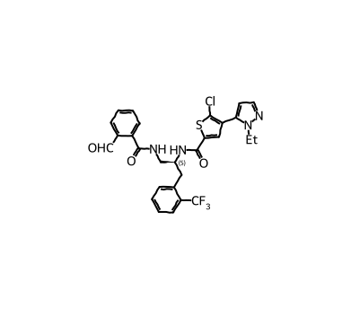 CCn1nccc1-c1cc(C(=O)N[C@H](CNC(=O)c2ccccc2C=O)Cc2ccccc2C(F)(F)F)sc1Cl